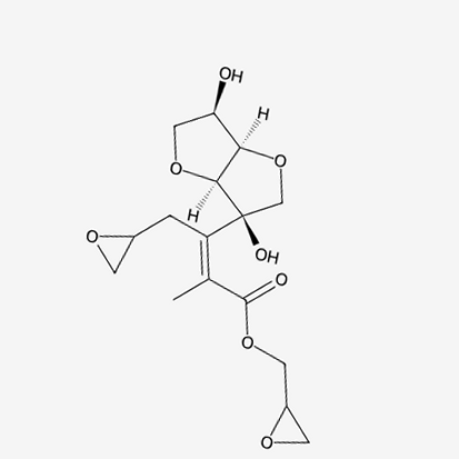 CC(C(=O)OCC1CO1)=C(CC1CO1)[C@@]1(O)CO[C@@H]2[C@H](O)CO[C@@H]21